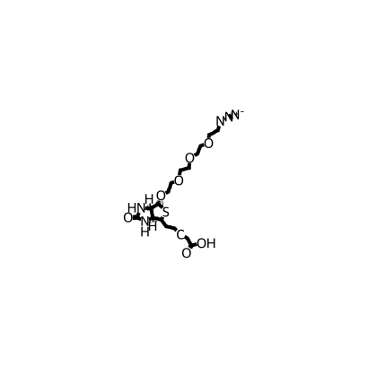 [N-]=[N+]=NCCOCCOCCOCCO[C@@H]1SC(CCCCC(=O)O)[C@H]2NC(=O)N[C@@H]12